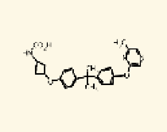 Cc1cncc(Oc2ccc(C(C)(C)c3ccc(OC4CC(NC(=O)O)C4)cc3)cc2)n1